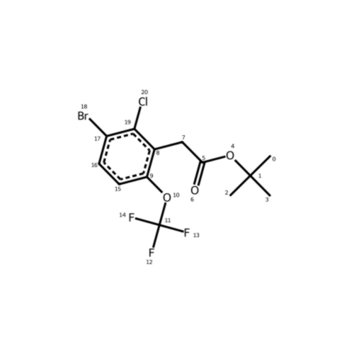 CC(C)(C)OC(=O)Cc1c(OC(F)(F)F)ccc(Br)c1Cl